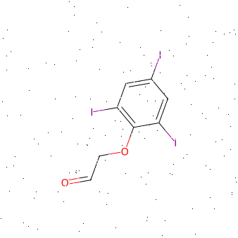 O=CCOc1c(I)cc(I)cc1I